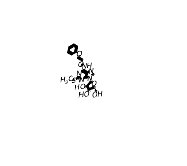 CSc1nc(NOCCOc2ccccc2)c2ncn([C@@H]3O[C@H](CO)[C@@H](O)[C@H]3O)c2n1